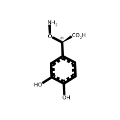 NO[C@@H](C(=O)O)c1ccc(O)c(O)c1